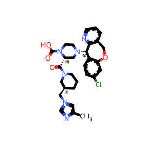 Cc1cn(C[C@@H]2CCCN(C(=O)[C@H]3CN([C@H]4c5ccc(Cl)cc5OCc5cccnc54)CCN3C(=O)O)C2)cn1